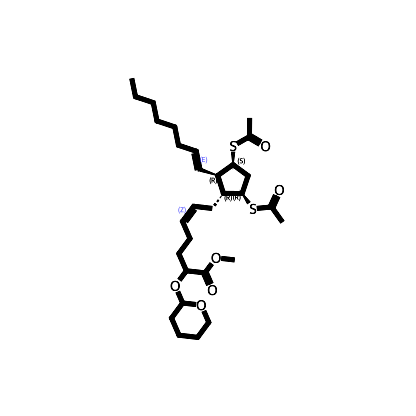 CCCCCC/C=C/[C@@H]1[C@@H](C/C=C\CCC(OC2CCCCO2)C(=O)OC)[C@H](SC(C)=O)C[C@@H]1SC(C)=O